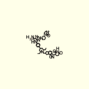 CCC1CC(c2ccc(Nc3nc(N4CCCC(N5CCN(C)C5=O)C4)cnc3C(N)=O)cc2)CC(CC)N1CC1Cc2ccc3c(C4CCC(=O)NC4=O)noc3c2C1